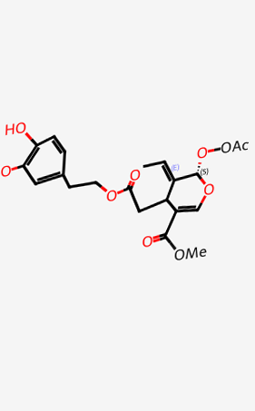 C/C=C1\C(CC(=O)OCCc2ccc(O)c(O)c2)C(C(=O)OC)=CO[C@H]1OOC(C)=O